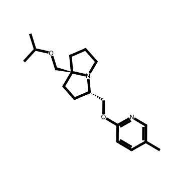 Cc1ccc(OC[C@@H]2CC[C@]3(COC(C)C)CCCN23)nc1